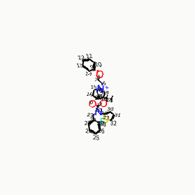 O=C(O[C@H]1C[N+]2(CCOc3ccccc3)CCC1CC2)N(Cc1ccccc1F)c1cccs1